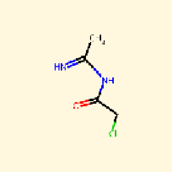 CC(=N)NC(=O)CCl